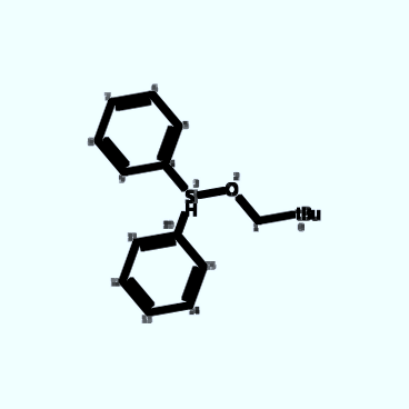 CC(C)(C)CO[SiH](c1ccccc1)c1ccccc1